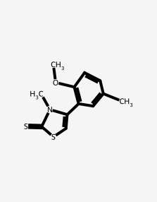 COc1ccc(C)cc1-c1csc(=S)n1C